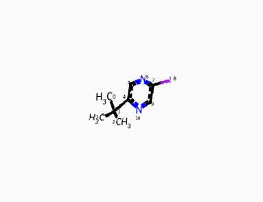 CC(C)(C)c1cnc(I)cn1